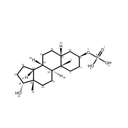 C[C@]12CC[C@H](OP(=O)(O)O)C[C@H]1CC[C@H]1[C@H]3CC[C@@H](O)[C@@]3(C)CC[C@@H]12